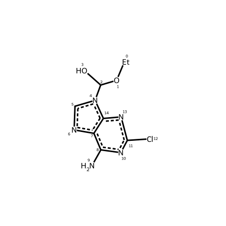 CCOC(O)n1cnc2c(N)nc(Cl)nc21